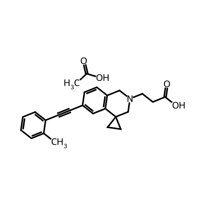 CC(=O)O.Cc1ccccc1C#Cc1ccc2c(c1)C1(CC1)CN(CCC(=O)O)C2